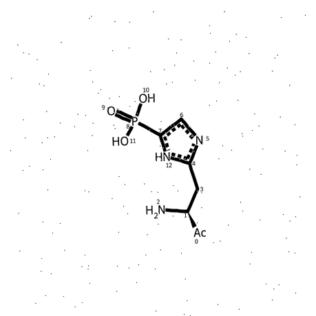 CC(=O)[C@@H](N)Cc1ncc(P(=O)(O)O)[nH]1